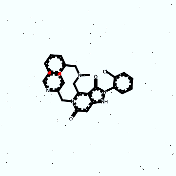 CN(Cc1ccccn1)Cc1c2c(=O)n(-c3ccccc3Cl)[nH]c2cc(=O)n1Cc1cnccn1